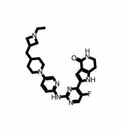 CCN1CC(CC2CCN(c3ccc(Nc4ncc(F)c(-c5cc6c([nH]5)CCNC6=O)n4)nc3)CC2)C1